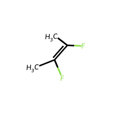 C/C(F)=C(\C)F